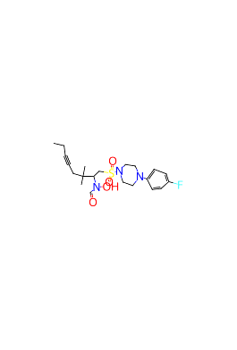 CCC#CCC(C)(C)C(CS(=O)(=O)N1CCN(c2ccc(F)cc2)CC1)N(O)C=O